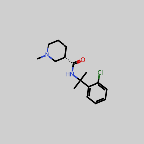 CN1CCC[C@H](C(=O)NC(C)(C)c2ccccc2Cl)C1